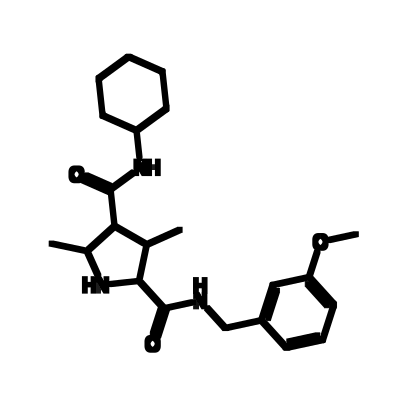 COc1cccc(CNC(=O)C2NC(C)C(C(=O)NC3CCCCC3)C2C)c1